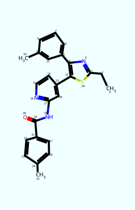 CCc1nc(-c2cccc(C)c2)c(-c2ccnc(NC(=O)c3ccc(C)cc3)c2)s1